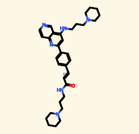 O=C(/C=C/c1ccc(-c2cc(NCCCN3CCCCC3)c3cnccc3n2)cc1)NCCCN1CCCCC1